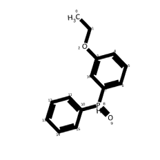 CCOc1cccc([PH](=O)c2ccccc2)c1